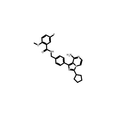 COc1ccc(F)cc1C(=O)NCc1ccc(-c2nc(C3CCCC3)n3ccnc(N)c23)cc1